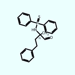 C[C@@](C=O)(CCc1ccccc1)NP(=S)(c1ccccc1)c1ccccc1